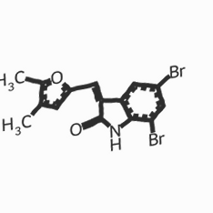 Cc1cc(C=C2C(=O)Nc3c(Br)cc(Br)cc32)oc1C